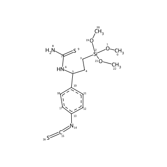 CO[Si](CCC(NC(N)=S)c1ccc(N=C=S)cc1)(OC)OC